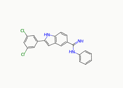 N=C(Nc1ccccc1)c1ccc2[nH]c(-c3cc(Cl)cc(Cl)c3)cc2c1